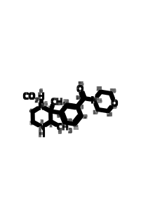 CC1NCCN(C(=O)O)C1(C)c1cccc(C(=O)N2CCOCC2)c1